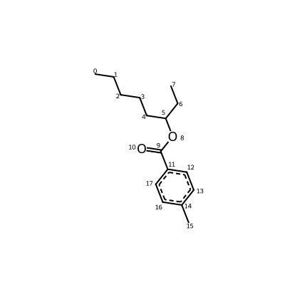 CCCCCC(CC)OC(=O)c1ccc(C)cc1